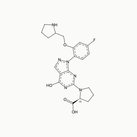 O=C(O)[C@@H]1CCCN1c1nc(O)c2cnn(-c3ccc(F)cc3OCC3CCCN3)c2n1